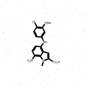 COc1cc(Nc2ccc([N+](=O)[O-])c3c2cc(C(=O)O)n3C)ccc1Cl